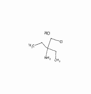 CCC(N)(CC)CCl.Cl